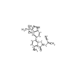 C=C(C#N)CN1Cc2c(-c3ccc4[nH]nc(C(C)(C)C)c4c3)ccc(N)c2C1=O